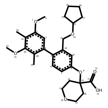 COc1cc(-c2ccc(OC3(C(=O)O)CCOCC3)cc2COC2CCCC2)c(C)c(OC)c1C